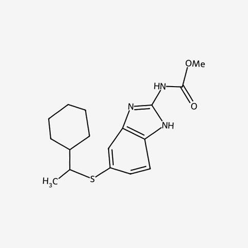 COC(=O)Nc1nc2cc(SC(C)C3CCCCC3)ccc2[nH]1